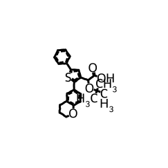 CC(C)(C)OC(C(=O)O)c1cc(-c2ccccc2)sc1-c1ccc2c(c1)CCCO2